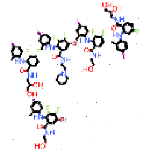 Cc1cc(I)ccc1Nc1c(C(=O)NCC(O)CO)ccc(F)c1F.Cc1cc(I)ccc1Nc1c(C(=O)NCCN2CCCCC2)cc(Br)c(F)c1F.Cc1cc(I)ccc1Nc1c(C(=O)NCCO)cc(Br)c(F)c1F.Cc1cc(I)ccc1Nc1c(C(=O)NCCO)ccc(F)c1F.Cc1cc(I)ccc1Nc1cc(F)ccc1C(=O)NCC(O)CO